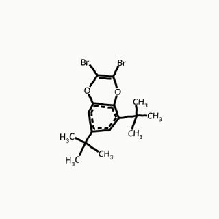 CC(C)(C)c1cc2c(c(C(C)(C)C)c1)OC(Br)=C(Br)O2